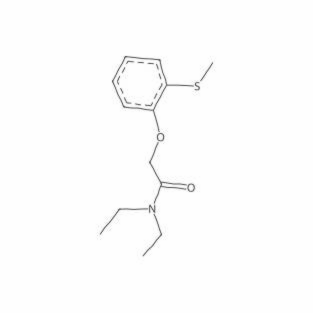 CCN(CC)C(=O)COc1ccccc1SC